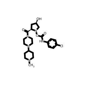 CN1CCC(N2CCN(C(=O)[C@H]3C[C@@H](O)CN3OC(=O)Nc3ccc(Cl)cc3)CC2)CC1